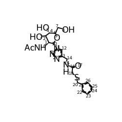 CC(=O)N[C@H]1C(O)[C@H](O)C(CO)O[C@H]1n1cc(CNC(=O)CSCc2ccccc2)nn1